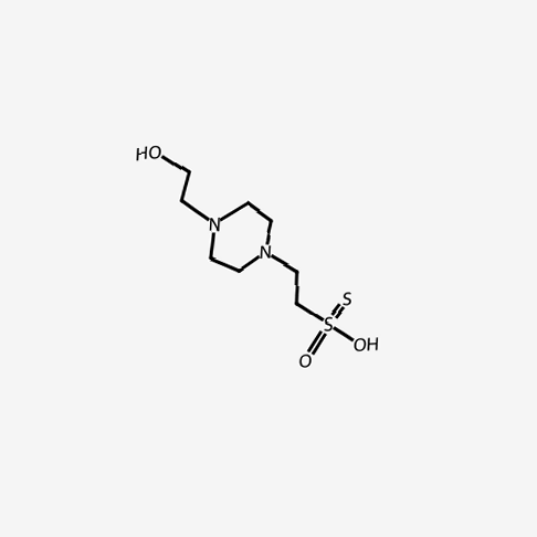 O=S(O)(=S)CCN1CCN(CCO)CC1